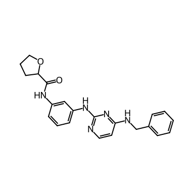 O=C(Nc1cccc(Nc2nccc(NCc3ccccc3)n2)c1)C1CCCO1